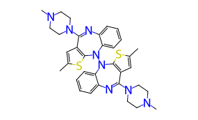 Cc1cc2c(s1)N(N1c3ccccc3N=C(N3CCN(C)CC3)c3cc(C)sc31)c1ccccc1N=C2N1CCN(C)CC1